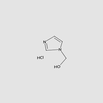 Cl.OCn1ccnc1